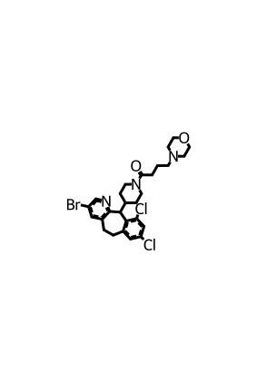 O=C(CCCN1CCOCC1)N1CCC(C2c3ncc(Br)cc3CCc3cc(Cl)cc(Cl)c32)CC1